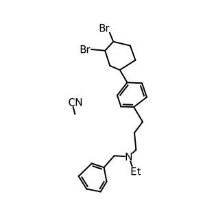 CC#N.CCN(CCCc1ccc(C2CCC(Br)C(Br)C2)cc1)Cc1ccccc1